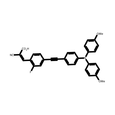 COc1ccc(N(c2ccc(C#Cc3ccc(C=C(C#N)C(=O)O)c(F)c3)cc2)c2ccc(OC)cc2)cc1